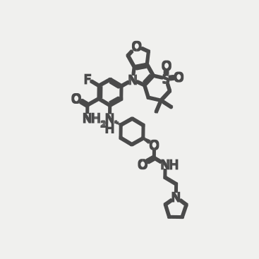 CC1(C)Cc2c(c3c(n2-c2cc(F)c(C(N)=O)c(N[C@H]4CC[C@H](OC(=O)NCCN5CCCC5)CC4)c2)COC3)S(=O)(=O)C1